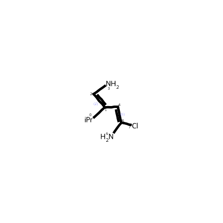 CC(C)C(=C/N)/C=C(\N)Cl